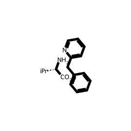 CC(C)[C@H](N)C(=O)O.c1ccc(Cc2ccccn2)cc1